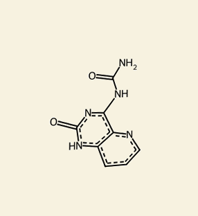 NC(=O)Nc1nc(=O)[nH]c2cccnc12